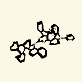 CC1(C)c2ccccc2-c2nc(-n3c4ccc5c6ccccc6c6ccccc6c5c4c4ccc5ccccc5c43)nc(-c3cccc4c3c3ccccc3n4-c3ccccc3)c21